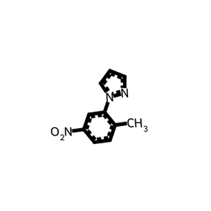 Cc1ccc([N+](=O)[O-])cc1-n1cccn1